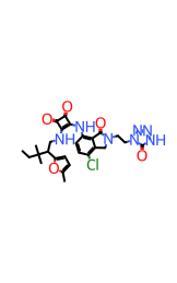 CCC(C)(C)C(CNc1c(Nc2ccc(Cl)c3c2C(=O)N(CCn2nn[nH]c2=O)C3)c(=O)c1=O)c1ccc(C)o1